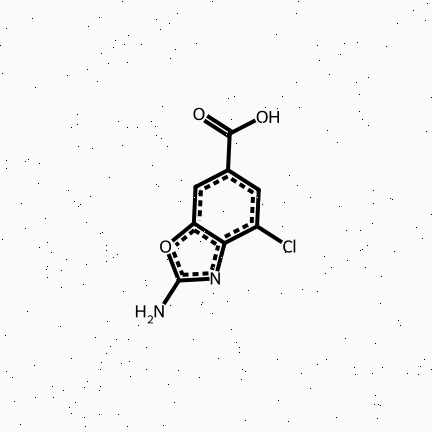 Nc1nc2c(Cl)cc(C(=O)O)cc2o1